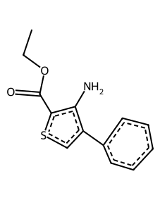 CCOC(=O)c1scc(-c2ccccc2)c1N